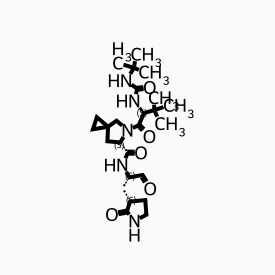 CC(C)(C)NC(=O)N[C@H](C(=O)N1CC2(CC2)C[C@H]1C(=O)N[C@H](C=O)C[C@@H]1CCNC1=O)C(C)(C)C